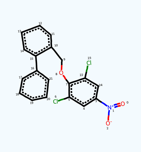 O=[N+]([O-])c1cc(Cl)c(OCc2ccccc2-c2ccccc2)c(Cl)c1